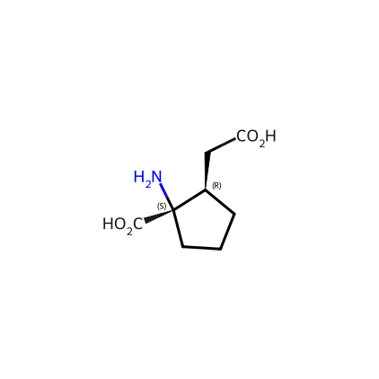 N[C@@]1(C(=O)O)CCC[C@@H]1CC(=O)O